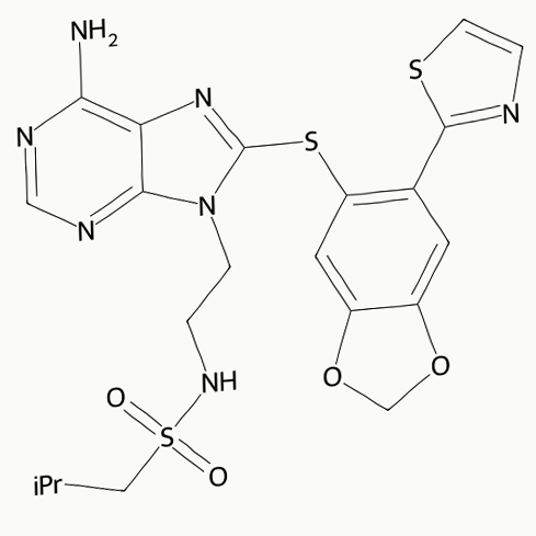 CC(C)CS(=O)(=O)NCCn1c(Sc2cc3c(cc2-c2nccs2)OCO3)nc2c(N)ncnc21